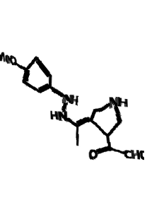 COc1ccc(NNC(C)=C2CNCC2C(=O)C=O)cc1